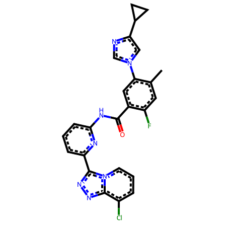 Cc1cc(F)c(C(=O)Nc2cccc(-c3nnc4c(Cl)cccn34)n2)cc1-n1cnc(C2CC2)c1